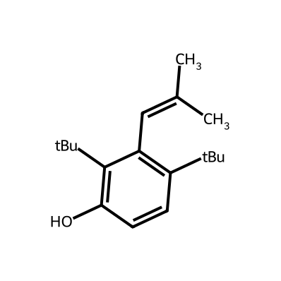 CC(C)=Cc1c(C(C)(C)C)ccc(O)c1C(C)(C)C